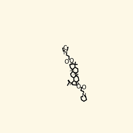 C=C(C)[C@@H]1CC[C@]2(COC(=O)CCN3CCCCC3)CC[C@]3(C)C(CCC4[C@@]5(C)CC[C@H](OC(=O)CCN6CCCCC6)C(C)(C)C5CC[C@]43C)C12